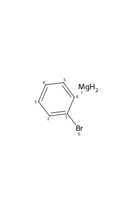 Brc1ccccc1.[MgH2]